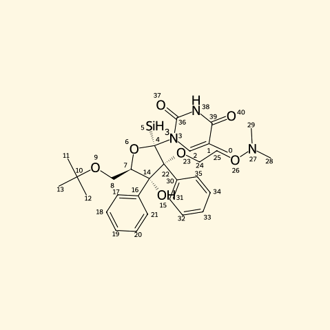 Cc1cn([C@]2([SiH3])O[C@H](COC(C)(C)C)[C@](O)(c3ccccc3)[C@]2(OCCON(C)C)c2ccccc2)c(=O)[nH]c1=O